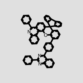 c1ccc(-c2nc(-c3ccc(-c4cccc5c4Oc4c(ccc6c(-c7ccccc7)nc7ccccc7c46)C54c5ccccc5-c5ccccc54)cc3)c3ccccc3n2)cc1